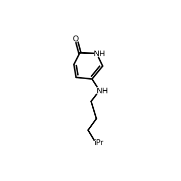 CC(C)CCCNc1ccc(=O)[nH]c1